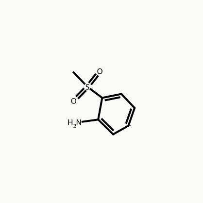 CS(=O)(=O)c1cc[c]cc1N